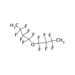 CC(F)(F)C(F)(F)C(F)(F)OC(F)(F)C(F)(F)C(C)(F)F